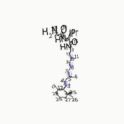 CC1=C(/C=C/C(C)=C/C=C/C(C)=C/CNC(=O)[C@@H](NC(=O)CN)C(C)C)C(C)(C)CCC1